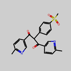 Cc1ccc(C(=O)C(C(=O)c2ccc(C)nc2)c2ccc(S(C)(=O)=O)cc2)cn1